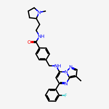 Cc1cnn2c(NCc3ccc(C(=O)NCCC4CCCN4C)cc3)cc(-c3ccccc3F)nc12